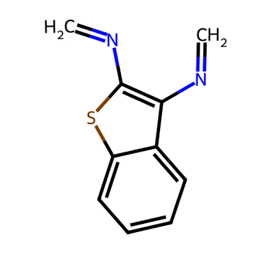 C=Nc1sc2ccccc2c1N=C